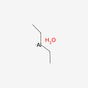 C[CH2][Al][CH2]C.O